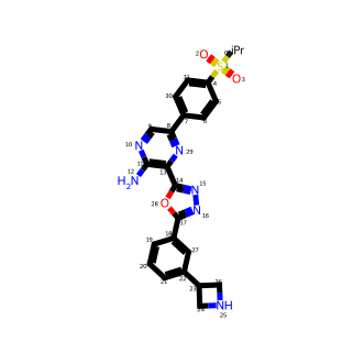 CC(C)S(=O)(=O)c1ccc(-c2cnc(N)c(-c3nnc(-c4cccc(C5CNC5)c4)o3)n2)cc1